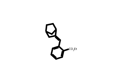 CCOC(=O)c1ccccc1C=C1CC2CCC1C2